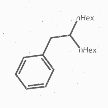 CCCCCC[C](CCCCCC)Cc1ccccc1